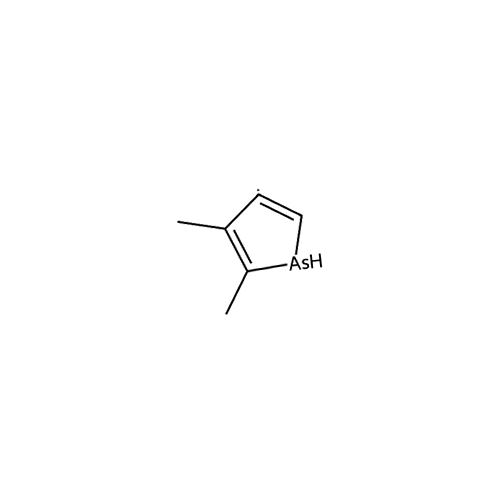 CC1=C(C)[AsH]C=[C]1